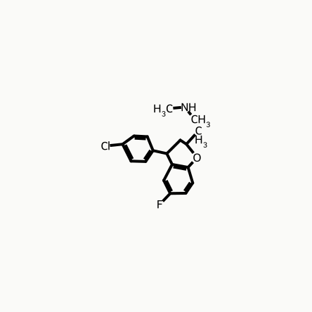 CC1CC(c2ccc(Cl)cc2)c2cc(F)ccc2O1.CNC